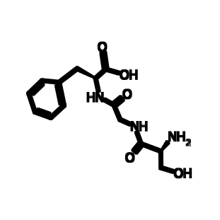 N[C@@H](CO)C(=O)NCC(=O)N[C@@H](Cc1ccccc1)C(=O)O